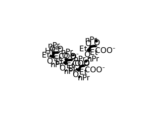 CCCOC(C(=O)[O-])C(=O)C(CC)(CC)OCCC.CCCOC(C(=O)[O-])C(=O)C(CC)(CC)OCCC.CCCOC(C(=O)[O-])C(=O)C(CC)(CC)OCCC.CCCOC(C(=O)[O-])C(=O)C(CC)(CC)OCCC.[Hf+4]